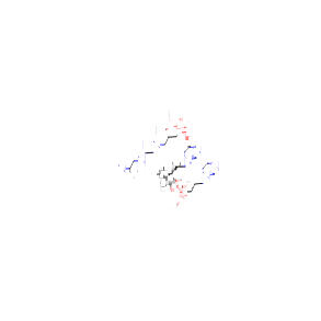 CCO[Si](CCCN1C=NCC1)(OCC)OCC.CCO[Si](CCCNCCNCCN)(OCC)OCC.CO[Si](CCCN1C=NCC1)(OC)OC